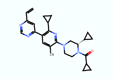 C=Cc1cc(-c2cc(C#N)c(N3CCN(C(=O)C4CC4)[C@@H](C4CC4)C3)nc2C2CC2)ncn1